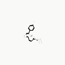 CNc1ccc2ncc(-c3ccc(F)cc3)n2n1